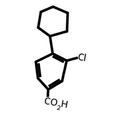 O=C(O)c1ccc(C2CCCCC2)c(Cl)c1